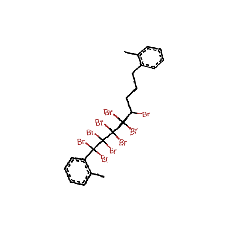 Cc1ccccc1CCCC(Br)C(Br)(Br)C(Br)(Br)C(Br)(Br)C(Br)(Br)c1ccccc1C